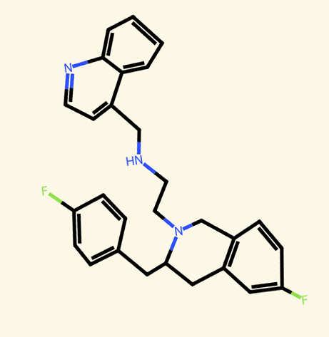 Fc1ccc(CC2Cc3cc(F)ccc3CN2CCNCc2ccnc3ccccc23)cc1